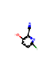 N#Cc1nc(F)ccc1O